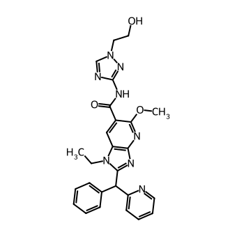 CCn1c(C(c2ccccc2)c2ccccn2)nc2nc(OC)c(C(=O)Nc3ncn(CCO)n3)cc21